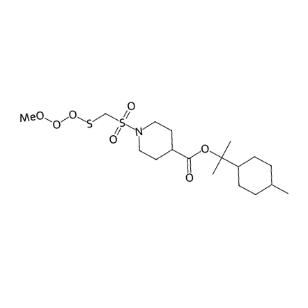 COOOSCS(=O)(=O)N1CCC(C(=O)OC(C)(C)C2CCC(C)CC2)CC1